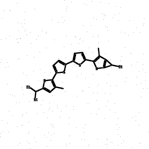 CCC(CC)c1cc(C)c(-c2ccc(-c3ccc(-c4sc5c(c4C)C5CC)s3)s2)s1